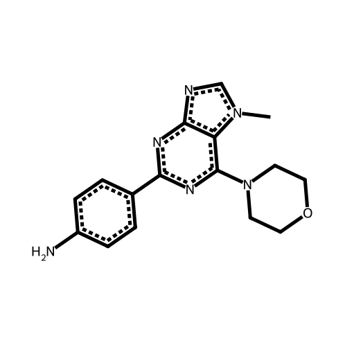 Cn1cnc2nc(-c3ccc(N)cc3)nc(N3CCOCC3)c21